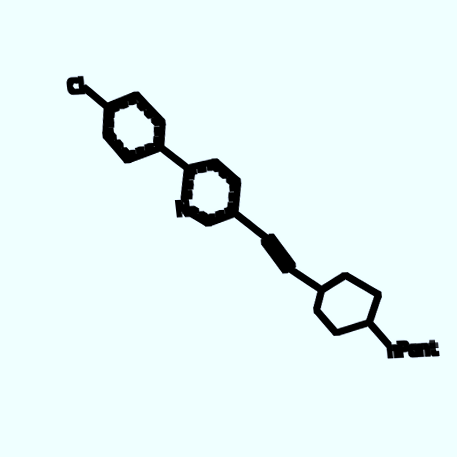 CCCCCC1CCC(C#Cc2ccc(-c3ccc(Cl)cc3)nc2)CC1